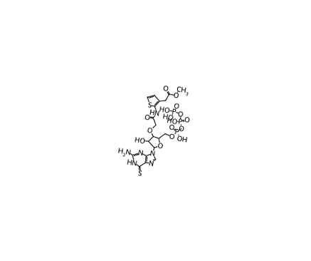 COC(=O)Cc1ccsc1NC(=O)COC1C(COP(=O)(O)OP(=O)(O)OP(=O)(O)O)OC(n2cnc3c(=S)[nH]c(N)nc32)C1O